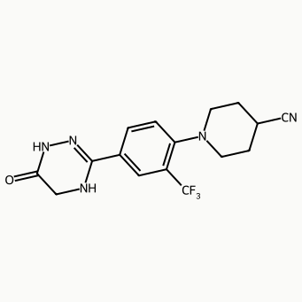 N#CC1CCN(c2ccc(C3=NNC(=O)CN3)cc2C(F)(F)F)CC1